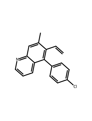 C=Cc1c(C)cc2ncccc2c1-c1ccc(Cl)cc1